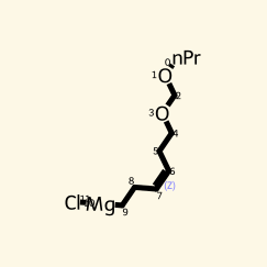 CCCOCOCC/C=C\C[CH2][Mg][Cl]